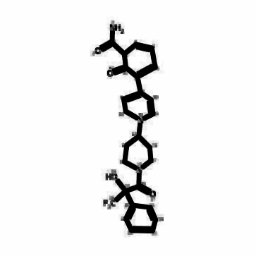 NC(=O)C1C=CC=C(C2=CCN(C3CCN(C(=O)C(O)(c4ccccc4)C(F)(F)F)CC3)C=C2)C1=O